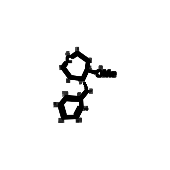 CO[C@@H]1CCCCC[C@H]1Cc1ccccc1